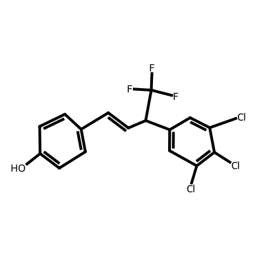 Oc1ccc(/C=C/C(c2cc(Cl)c(Cl)c(Cl)c2)C(F)(F)F)cc1